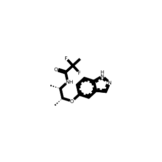 C[C@H](NC(=O)C(C)(F)F)[C@@H](C)Oc1ccc2[nH]ncc2c1